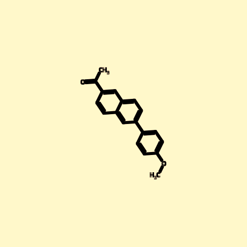 COc1ccc(-c2ccc3cc(C(C)=O)ccc3c2)cc1